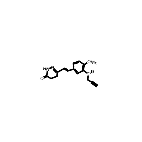 C#CC[S+]([O-])c1cc(C=CC2=NNC(=O)CC2)ccc1OC